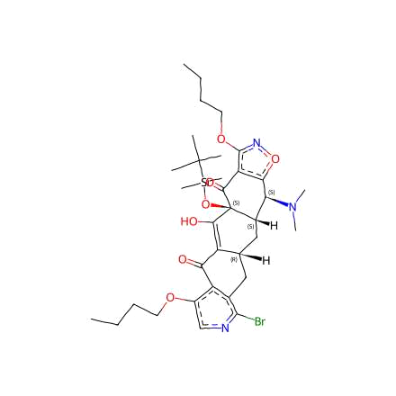 CCCCOc1cnc(Br)c2c1C(=O)C1=C(O)[C@]3(O[Si](C)(C)C(C)(C)C)C(=O)c4c(OCCCC)noc4[C@@H](N(C)C)[C@@H]3C[C@@H]1C2